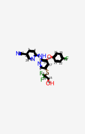 N#Cc1ccc(Nc2ncc(SC(F)(F)CO)cc2Oc2ccc(F)cc2)nc1